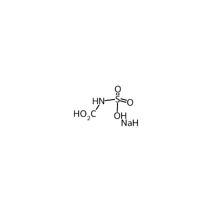 O=C(O)NS(=O)(=O)O.[NaH]